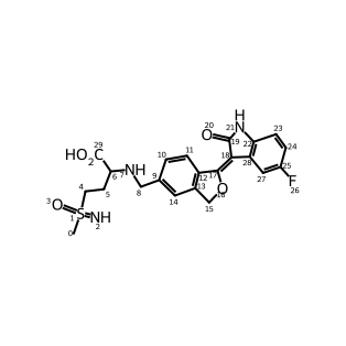 CS(=N)(=O)CCC(NCc1ccc2c(c1)COC2=C1C(=O)Nc2ccc(F)cc21)C(=O)O